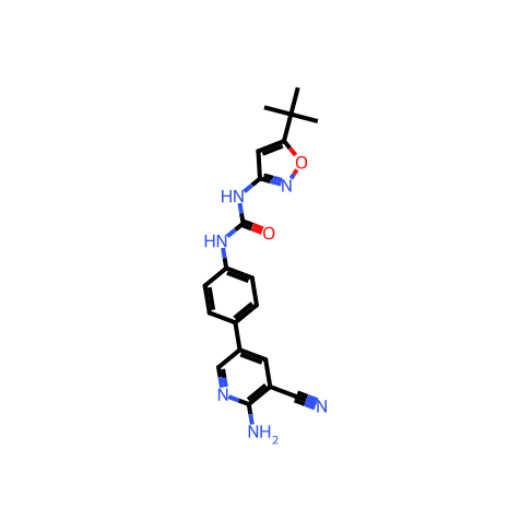 CC(C)(C)c1cc(NC(=O)Nc2ccc(-c3cnc(N)c(C#N)c3)cc2)no1